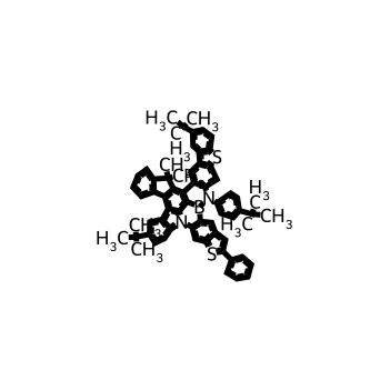 CC(C)(C)c1ccc(N2B3c4cc5cc(-c6ccccc6)sc5cc4-n4c5ccc(C(C)(C)C)cc5c5c6c(c(c3c54)-c3cc4c(cc32)sc2ccc(C(C)(C)C)cc24)C(C)(C)c2ccccc2-6)cc1